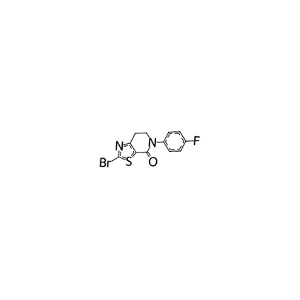 O=C1c2sc(Br)nc2CCN1c1ccc(F)cc1